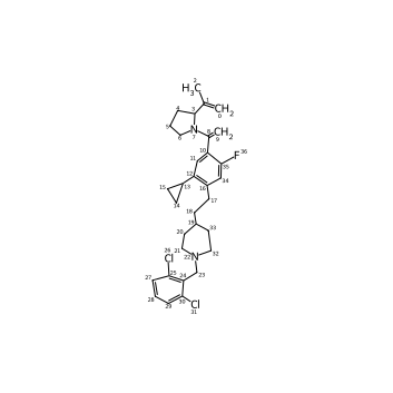 C=C(C)C1CCCN1C(=C)c1cc(C2CC2)c(CCC2CCN(Cc3c(Cl)cccc3Cl)CC2)cc1F